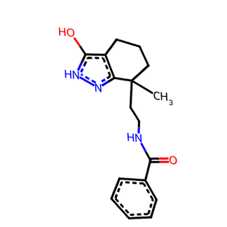 CC1(CCNC(=O)c2ccccc2)CCCc2c1n[nH]c2O